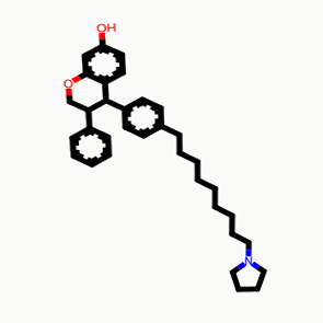 Oc1ccc2c(c1)OCC(c1ccccc1)C2c1ccc(CCCCCCCCCN2CCCC2)cc1